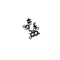 CCC(C)(C)C(=O)O[C@H]1CC(C)=CC2=CC(=O)[C@@H](C)[C@@H](CC[C@@H]3C[C@@H](O[Si](C)(C)C(C)(C)C)CC(=O)O3)[C@H]21